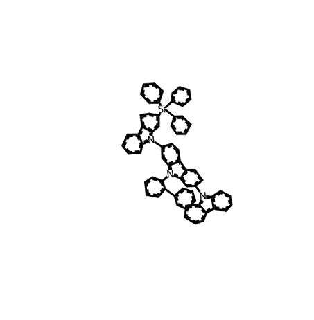 c1ccc(-c2ccccc2-n2c3cc(-n4c5ccccc5c5ccccc54)ccc3c3ccc(-n4c5ccccc5c5ccc([Si](c6ccccc6)(c6ccccc6)c6ccccc6)cc54)cc32)cc1